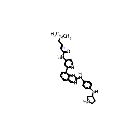 CN(C)C/C=C/C(=O)Nc1ccnc(-c2cccc3cnc(Nc4ccc(NC5CCNC5)cc4)nc23)c1